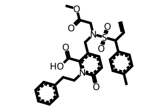 C=CC(c1ccc(C)cc1)S(=O)(=O)N(CC(=O)OC)Cc1ccc(=O)n(CCc2ccccc2)c1C(=O)O